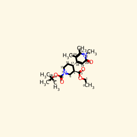 CCOC(=O)[C@H]1CN(C(=O)OC(C)(C)C)CC[C@@H]1c1cc(=O)n(C)c(C)c1C